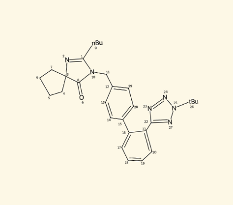 CCCCC1=NC2(CCCC2)C(=O)N1Cc1ccc(-c2ccccc2-c2nnn(C(C)(C)C)n2)cc1